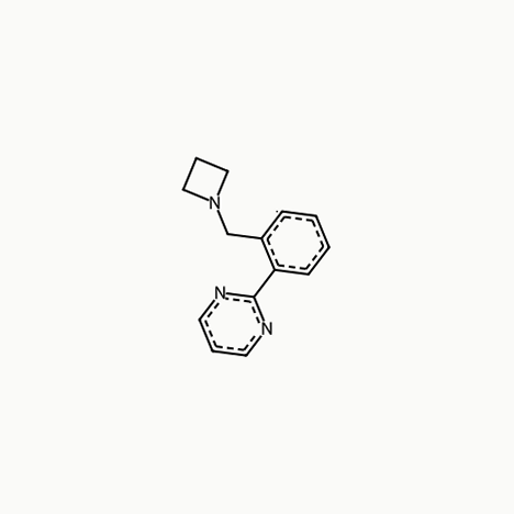 [c]1cccc(-c2ncccn2)c1CN1CCC1